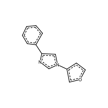 c1ccc(-c2cn(-c3ccoc3)cn2)cc1